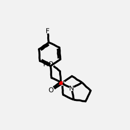 O=C(CO)N1C2CCC1CN(Cc1ccc(F)cc1)C2